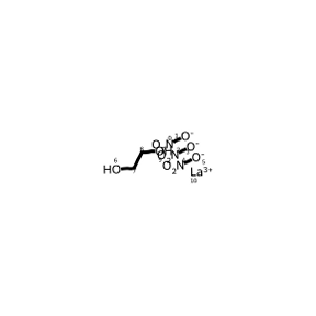 O=[N+]([O-])[O-].O=[N+]([O-])[O-].O=[N+]([O-])[O-].OCCO.[La+3]